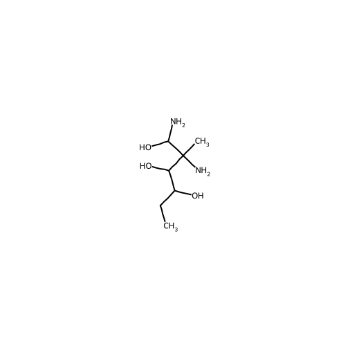 CCC(O)C(O)C(C)(N)C(N)O